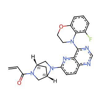 C=CC(=O)N1C[C@@H]2C[C@H]1CN2c1ccc2ncnc(N3CCOc4cccc(F)c43)c2n1